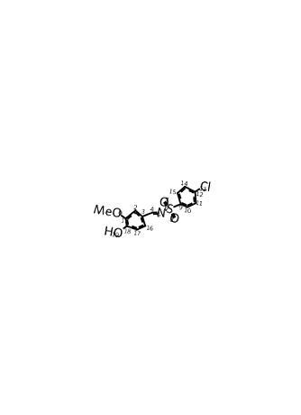 COc1cc(C=NS(=O)(=O)c2ccc(Cl)cc2)ccc1O